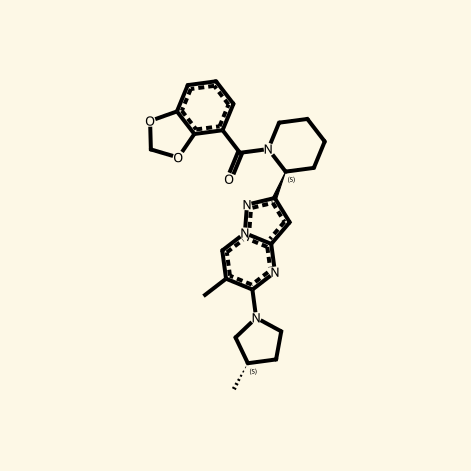 Cc1cn2nc([C@@H]3CCCCN3C(=O)c3cccc4c3OCO4)cc2nc1N1CC[C@H](C)C1